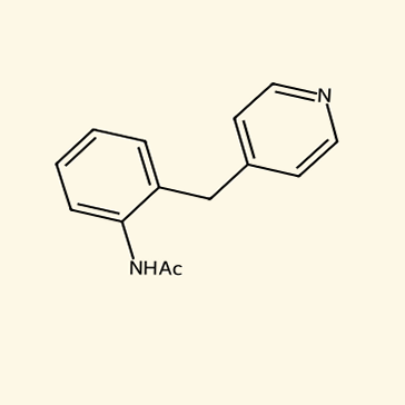 CC(=O)Nc1ccccc1Cc1ccncc1